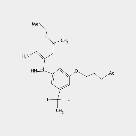 CNCCN(C)C/C(=C/N)C(=N)c1cc(OCCCC(C)=O)cc(C(C)(F)F)c1